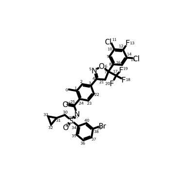 Cc1cc(C2=NOC(c3cc(Cl)c(F)c(Cl)c3)(C(F)(F)F)C2)ccc1C(=O)N=S(=O)(CC1CC1)c1cccc(Br)c1